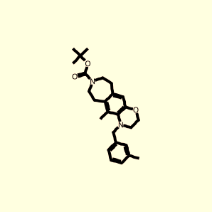 Cc1cccc(CN2CCOc3cc4c(c(C)c32)CCN(C(=O)OC(C)(C)C)CC4)c1